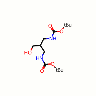 CC(C)(C)OC(=O)NCC(CO)CNC(=O)OC(C)(C)C